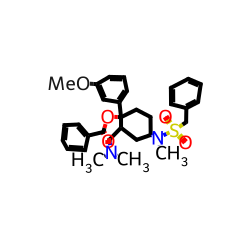 COc1cccc(C2(OC(=O)c3ccccc3)CCC(N(C)S(=O)(=O)Cc3ccccc3)CC2CN(C)C)c1